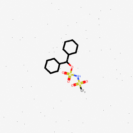 O=S(=O)(NS(=O)(=O)C(F)(F)F)OC(C1CCCCC1)C1CCCCC1